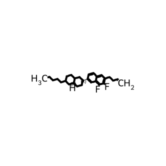 C=CCCc1cc2ccc([C@@H]3CC[C@@H]4CC(CCCCC)CCC4C3)cc2c(F)c1F